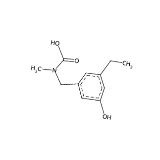 CCc1cc(O)cc(CN(C)C(=O)O)c1